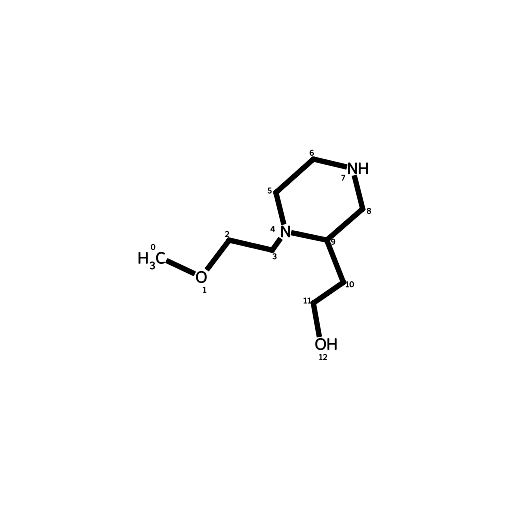 COCCN1CCNCC1CCO